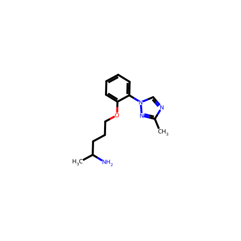 Cc1ncn(-c2ccccc2OCCCC(C)N)n1